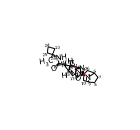 Cc1noc(N2C3CCC2CC(N2C[C@@H]4[C@H](C2)[C@@H]4C(=O)NC2(C)CCC2)C3)n1